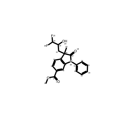 COC(=O)c1ccc2c(c1)N(c1ccccc1)C(=O)C2(C)CC(O)C(F)F